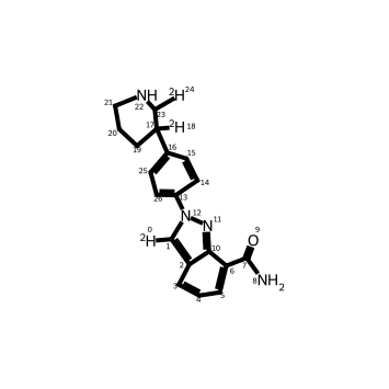 [2H]c1c2cccc(C(N)=O)c2nn1-c1ccc(C2([2H])CCCNC2[2H])cc1